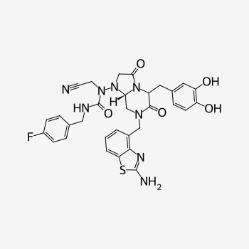 N#CCN(C(=O)NCc1ccc(F)cc1)N1CC(=O)N2C(Cc3ccc(O)c(O)c3)C(=O)N(Cc3cccc4sc(N)nc34)C[C@@H]21